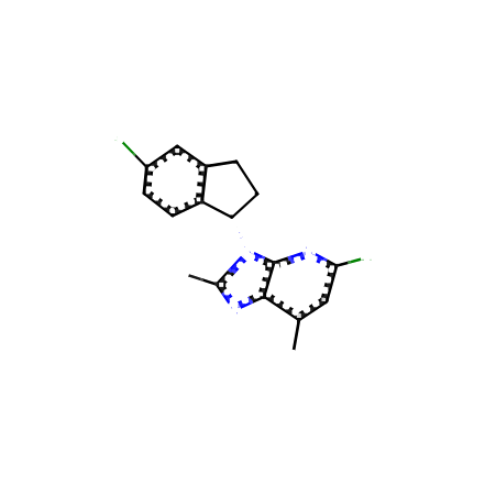 CCc1nc2c(C)cc(Br)nc2n1[C@H]1CCc2cc(Br)ccc21